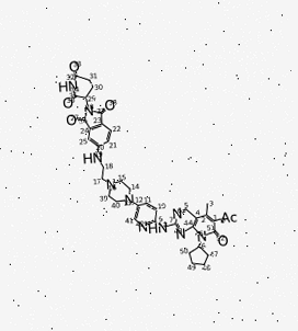 CC(=O)c1c(C)c2cnc(Nc3ccc(N4CCN(CCNc5ccc6c(c5)C(=O)N(C5CCC(=O)NC5=O)C6=O)CC4)cn3)nc2n(C2CCCC2)c1=O